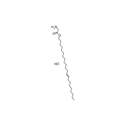 CCCCCCCCC=CCCCCCCCCCCCCOC(=O)CN.Cl